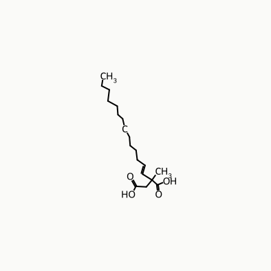 CCCCCCCCCCCC/C=C/C(C)(CC(=O)O)C(=O)O